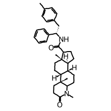 Cc1ccc(C[C@H](NC(=O)C2CC[C@H]3[C@@H]4CCC5N(C)C(=O)CC[C@]5(C)[C@@H]4CC[C@]23C)c2ccccc2)cc1